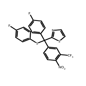 O=[N+]([O-])c1ccc(C(Sc2ccc(F)cc2)(c2ccc(F)cc2)c2nccs2)cc1C(F)(F)F